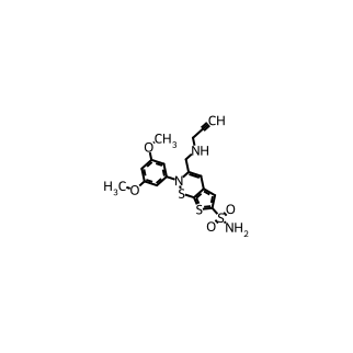 C#CCNCC1=Cc2cc(S(N)(=O)=O)sc2SN1c1cc(OC)cc(OC)c1